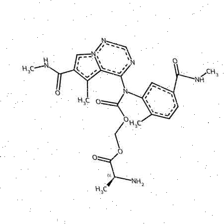 CNC(=O)c1ccc(C)c(N(C(=O)OCOC(=O)[C@H](C)N)c2ncnn3cc(C(=O)NC)c(C)c23)c1